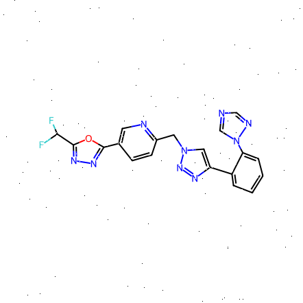 FC(F)c1nnc(-c2ccc(Cn3cc(-c4ccccc4-n4cncn4)nn3)nc2)o1